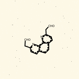 O=CCc1ccc2ccc3ccc(CC=O)nc3c2n1